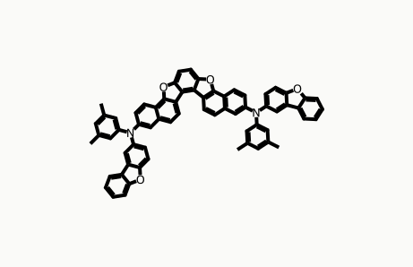 Cc1cc(C)cc(N(c2ccc3c(ccc4c3oc3ccc5oc6c7ccc(N(c8cc(C)cc(C)c8)c8ccc9oc%10ccccc%10c9c8)cc7ccc6c5c34)c2)c2ccc3oc4ccccc4c3c2)c1